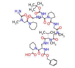 CC(C)[C@@H](C(=O)NC[C@@H](NC(=O)OCc1ccccc1)C(=O)N1CCCC[C@H]1C(=O)O)N(C)C(=O)CN(C)C(=O)CNC(=O)[C@@H]1CCCCN1C(=O)[C@@H](CNC(=O)[C@@H]1CCCCCN1C(=O)CN(C)C(=O)CN)NC(=O)OC(C)(C)C